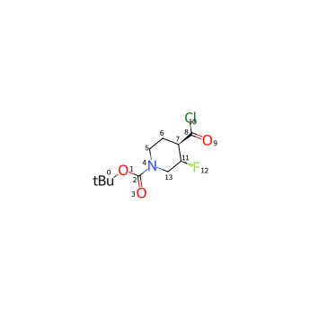 CC(C)(C)OC(=O)N1CC[C@@H](C(=O)Cl)[C@@H](F)C1